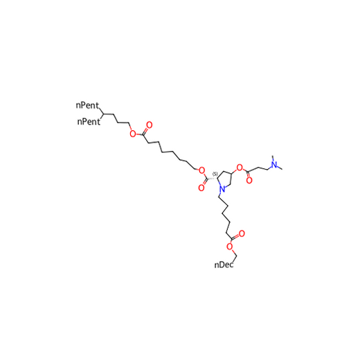 CCCCCCCCCCCOC(=O)CCCCCN1CC(OC(=O)CCN(C)C)C[C@H]1C(=O)OCCCCCCCC(=O)OCCCC(CCCCC)CCCCC